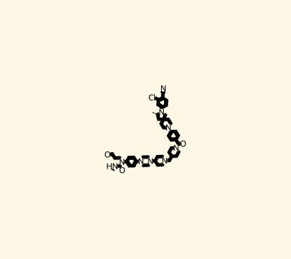 CNC(=O)N(CCC=O)c1ccc(N2CCN(C3CCN(CC4CCN(C(=O)c5ccc(N6CCC7(CC6)C[C@H](C)N(c6ccc(C#N)c(Cl)c6)C7)cc5)CC4)CC3)CC2)cc1